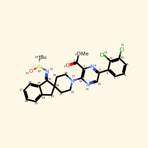 COC(=O)c1nc(-c2cccc(Cl)c2Cl)cnc1N1CCC2(CC1)Cc1ccccc1C2=N[S@+]([O-])C(C)(C)C